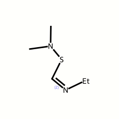 CC/N=C\SN(C)C